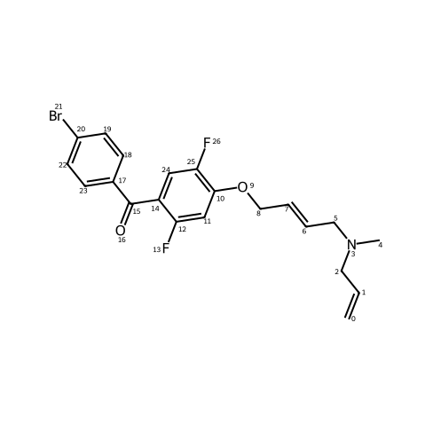 C=CCN(C)C/C=C/COc1cc(F)c(C(=O)c2ccc(Br)cc2)cc1F